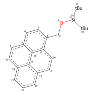 CC(C)(C)[SiH](OCc1ccc2ccc3cccc4ccc1c2c34)C(C)(C)C